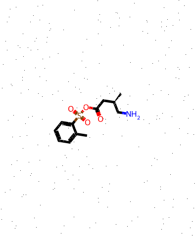 Cc1ccccc1S(=O)(=O)OC(=O)C[C@@H](C)CN